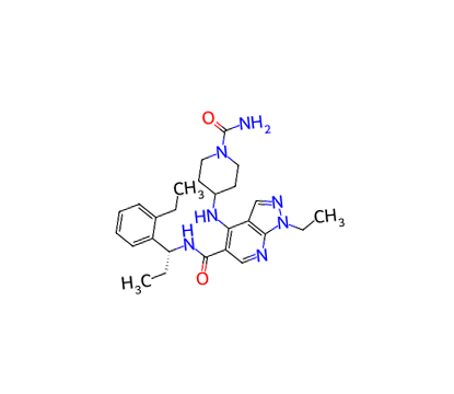 CCc1ccccc1[C@@H](CC)NC(=O)c1cnc2c(cnn2CC)c1NC1CCN(C(N)=O)CC1